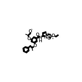 CCO[P@@](C)(=O)Cn1ccc(NC(=O)c2cc(O[C@@H](C)COC)cc(O[C@@H](C)Cc3ccccc3)c2)n1